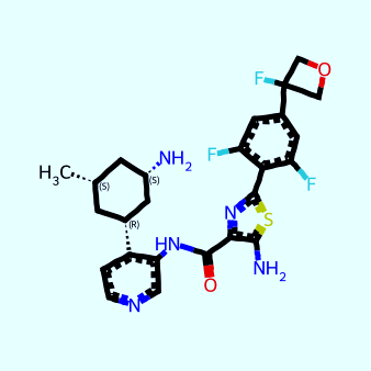 C[C@@H]1C[C@H](N)C[C@H](c2ccncc2NC(=O)c2nc(-c3c(F)cc(C4(F)COC4)cc3F)sc2N)C1